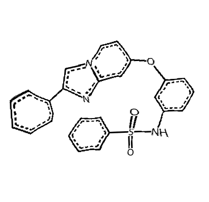 O=S(=O)(Nc1cccc(Oc2ccn3cc(-c4ccccc4)nc3c2)c1)c1ccccc1